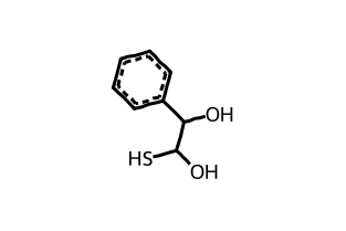 OC(S)C(O)c1ccccc1